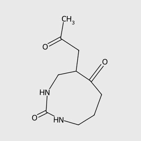 CC(=O)CC1CNC(=O)NCCCC1=O